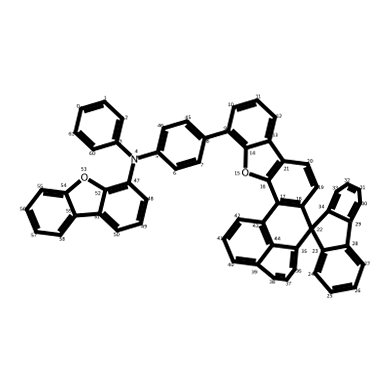 c1ccc(N(c2ccc(-c3cccc4c3oc3c5c(ccc34)C3(c4ccccc4-c4ccccc43)c3cccc4cccc-5c34)cc2)c2cccc3c2oc2ccccc23)cc1